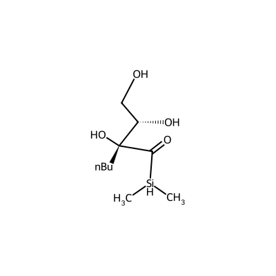 CCCC[C@](O)(C(=O)[SiH](C)C)[C@@H](O)CO